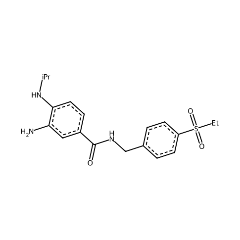 CCS(=O)(=O)c1ccc(CNC(=O)c2ccc(NC(C)C)c(N)c2)cc1